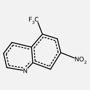 O=[N+]([O-])c1cc(C(F)(F)F)c2cccnc2c1